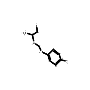 CC(CI)OCOc1ccc(Cl)cc1